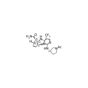 CC(=O)N1CCC[C@H](Nc2ncc(C(F)(F)F)c(N[C@@H]3[C@H](C(N)=O)[C@H]4C=C[C@@H]3C4)n2)C1